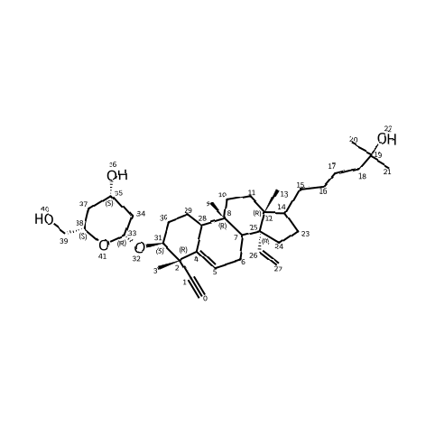 C#C[C@@]1(C)C2=CCC3[C@@](C)(CC[C@]4(C)C(CCCCC(C)(C)O)CC[C@@]34C=C)C2CC[C@@H]1O[C@H]1C[C@@H](O)C[C@@H](CO)O1